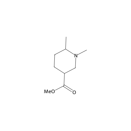 COC(=O)C1CCC(C)N(C)C1